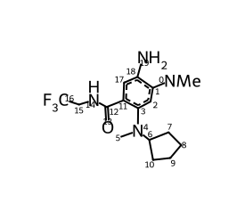 CNc1cc(N(C)C2CCCC2)c(C(=O)NCC(F)(F)F)cc1N